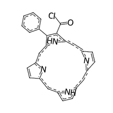 O=C(Cl)c1c(-c2ccccc2)c2cc3nc(cc4ccc(cc5nc(cc1[nH]2)C=C5)[nH]4)C=C3